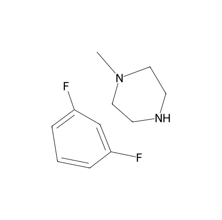 CN1CCNCC1.Fc1cccc(F)c1